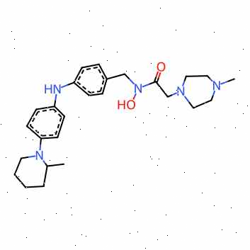 CC1CCCCN1c1ccc(Nc2ccc(CN(O)C(=O)CN3CCN(C)CC3)cc2)cc1